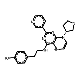 Oc1ccc(CCNc2nc(-c3cccnc3)nc3c2NC=CN3[C@@H]2CCOC2)cc1